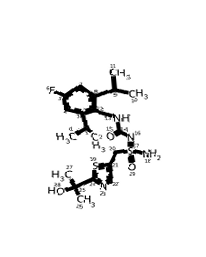 CC(C)c1cc(F)cc(C(C)C)c1NC(=O)N=S(N)(=O)Cc1cnc(C(C)(C)O)s1